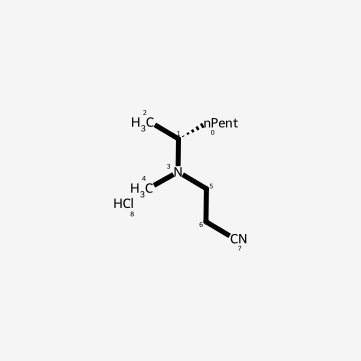 CCCCC[C@@H](C)N(C)CCC#N.Cl